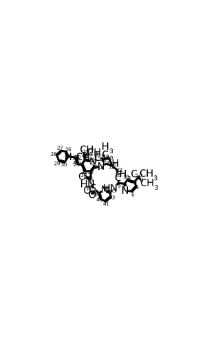 CC(C)(C)c1ccnc(C2CC[C@@H]3CN(c4nc(C(C)(C)C)c(/C=C/c5ccccc5)cc4C(=O)NS(=O)(=O)c4cccc(n4)N2)C(C)(C)C3)c1